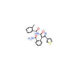 Cc1ccccc1C(=O)Nc1onc(-c2ccsc2)c1-c1ccccc1C(N)=O